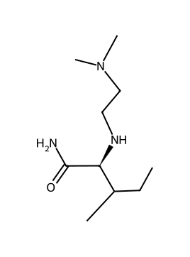 CCC(C)[C@H](NCCN(C)C)C(N)=O